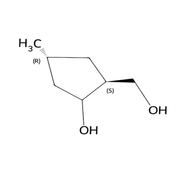 C[C@H]1CC(O)[C@H](CO)C1